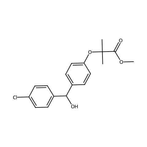 COC(=O)C(C)(C)Oc1ccc(C(O)c2ccc(Cl)cc2)cc1